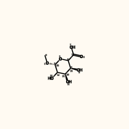 CO[C@@H]1OC(C(=O)O)[C@@H](O)[C@@H](O)C1O